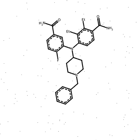 CCc1c(C(N)=O)ccc(N(c2cc(C(N)=O)ccc2F)C2CCN(Cc3ccccc3)CC2)c1CC